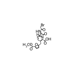 COC(=O)c1ccc(CC2=C(C(=O)O)N3C(=O)[C@@H](NC(=O)CBr)[C@H]3SC2)o1